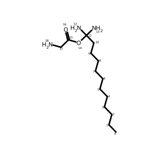 CCCCCCCCCCCC(N)(N)OC(=O)CN